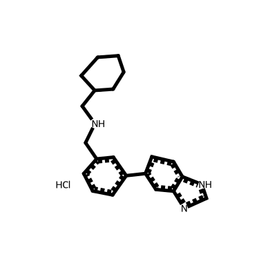 Cl.c1cc(CNCC2CCCCC2)cc(-c2ccc3[nH]cnc3c2)c1